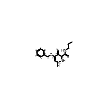 C=C(NCCC)C1NNC=C(OCc2ccccc2)C1=C